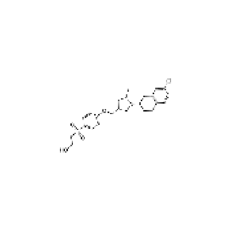 CC1CC(COc2ccc(S(=O)(=O)CCO)cc2)CN1C1CCc2ccc(Cl)cc2C1